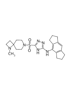 CN1CCC12CCN(S(=O)(=O)c1nnc(Nc3c4c(cc5c3CCC5)CCC4)[nH]1)CC2